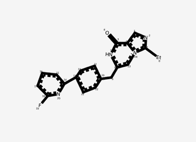 CCc1ncc2c(=O)[nH]c(Cc3ccc(-c4cccc(F)n4)cc3)cn12